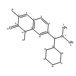 CCCN(CCC)C(c1ccc2cc(C)c(=O)n(C)c2c1)C1CCCCC1